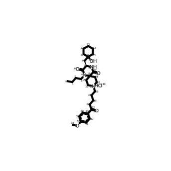 CCCCN1C(=O)[C@@H](CC2(O)CCCCC2)NC(=O)C12CCN(CCCCC(=O)c1ccc(OC)cc1)CC2.Cl